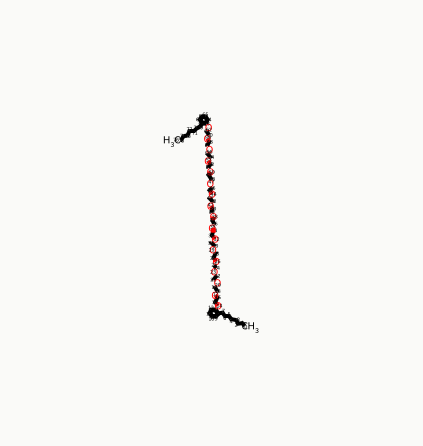 CCCCCCCCc1ccccc1OCCOCCOCCOCCOCCOCCOCCOCCOCCOCCOCCOCCOCCOCCOCCOCCOc1ccccc1CCCCCCCC